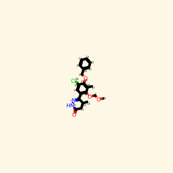 COCOc1c(C2=NNC(=O)CC2C)cc(Cl)c(OCc2ccccc2)c1C